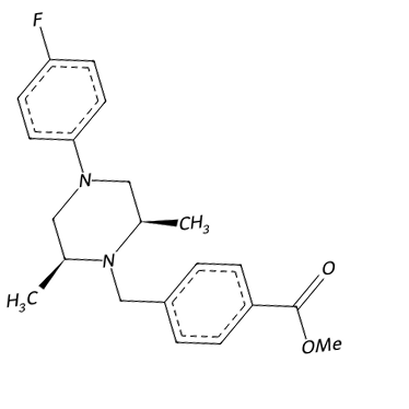 COC(=O)c1ccc(CN2[C@H](C)CN(c3ccc(F)cc3)C[C@@H]2C)cc1